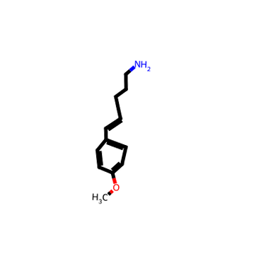 COc1ccc(/C=C/CCCN)cc1